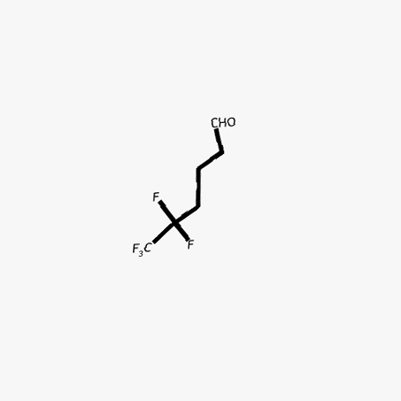 O=CCCCC(F)(F)C(F)(F)F